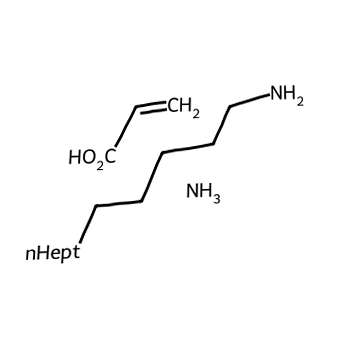 C=CC(=O)O.CCCCCCCCCCCCN.N